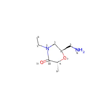 CCN1C[C@@H](CN)O[C@H](C)C1=O